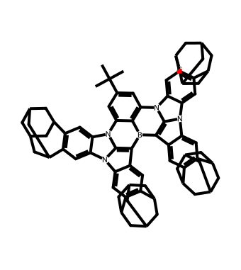 CC(C)(C)c1cc2c3c(c1)-n1c4cc5c(cc4n4c6cc7c(cc6c(c14)B3c1c3cc4c(cc3n3c6cc8c(cc6n-2c13)C1CC2CC(C1)CC8C2)C1CC2CC(CC4C2)C1)C1CC2CC(C1)CC7C2)C1CC2CC(CC5C2)C1